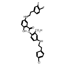 O=C(Oc1ccc(NCCc2ccc(Cl)cc2)cc1C(=O)O)c1cc(NCCc2ccc(F)c(F)c2)ccc1O